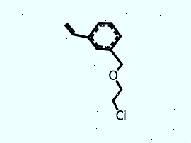 C=Cc1cccc(COCCCl)c1